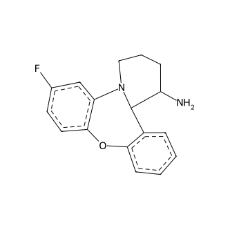 NC1CCCN2c3cc(F)ccc3Oc3ccccc3C12